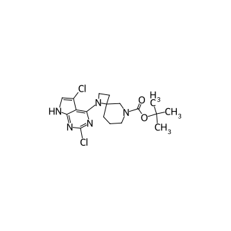 CC(C)(C)OC(=O)N1CCCC2(CCN2c2nc(Cl)nc3[nH]cc(Cl)c23)C1